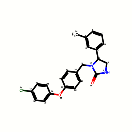 O=C1NCC(c2cccc(C(F)(F)F)c2)N1Cc1ccc(Oc2ccc(Cl)cc2)cc1